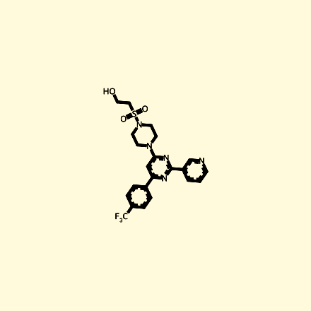 O=S(=O)(CCO)N1CCN(c2cc(-c3ccc(C(F)(F)F)cc3)nc(-c3cccnc3)n2)CC1